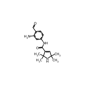 CC1(C)C=C(C(=O)Nc2ccc(C=O)c(N)c2)C(C)(C)N1